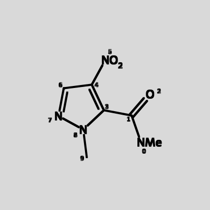 CNC(=O)c1c([N+](=O)[O-])cnn1C